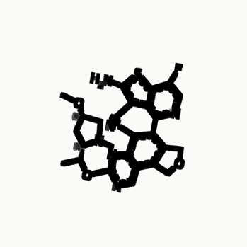 CO[C@@H]1C[C@@H](C(C)Oc2ncc3c4c(c(-c5ncc(F)c6sc(N)c(C#N)c56)c(F)c3n2)COC4)N(C)C1